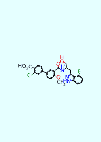 O=C(O)c1ccc(-c2ccc(OC(F)(F)F)c(C(=O)NC(CO)Cc3n[nH]c4cccc(F)c34)c2)cc1Cl